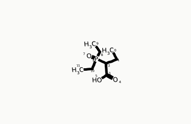 CCC(C(=O)O)P(=O)(CC)CC